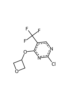 FC(F)(F)c1cnc(Cl)nc1OC1COC1